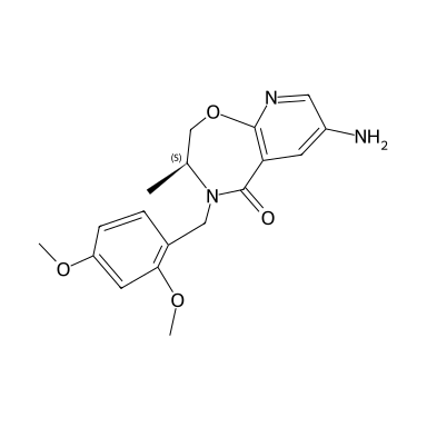 COc1ccc(CN2C(=O)c3cc(N)cnc3OC[C@@H]2C)c(OC)c1